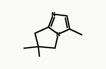 Cc1cnc2n1CC(C)(C)C2